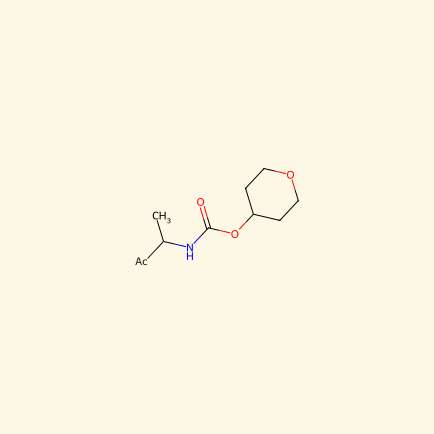 CC(=O)C(C)NC(=O)OC1CCOCC1